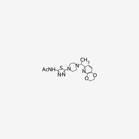 CC(=O)Nc1nnc(N2CCN(C(C)c3ccc4c(n3)OCCO4)CC2)s1